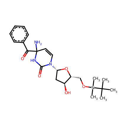 CC(C)(C)[Si](C)(C)OC[C@H]1O[C@@H](N2C=CC(N)(C(=O)c3ccccc3)NC2=O)C[C@@H]1O